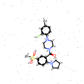 CC(=O)c1ccc(N2CCN(C(=O)c3cc(S(=O)(=O)C(C)C)ccc3N3CCCC3)CC2)c(F)c1